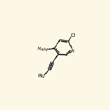 CNc1cc(Cl)ncc1C#CC(C)(C)C